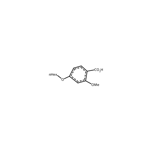 CCCCCCOc1ccc(C(=O)O)c(OC)c1